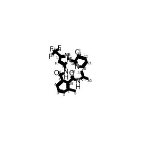 Cc1cccc(C(=O)Nc2cc(C(F)(F)F)nn2-c2ncccc2Cl)c1C(=O)NC(C)C